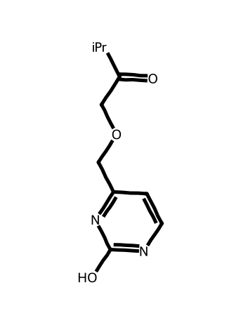 CC(C)C(=O)COCc1ccnc(O)n1